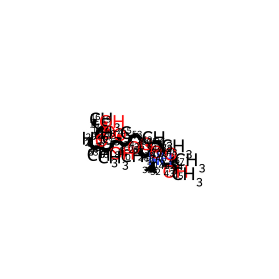 CC[C@@H](C(=O)[C@@H](C)[C@@H](O)[C@H](C)[C@@H]1O[C@@H]([C@@H](CC)C(=O)O)CC[C@@H]1C)[C@H]1O[C@]2(C=C[C@@H](NC3CC3)[C@]3(CC[C@@](C)([C@H]4CC[C@](O)(CC)[C@H](C)O4)O3)O2)[C@H](C)C[C@@H]1C